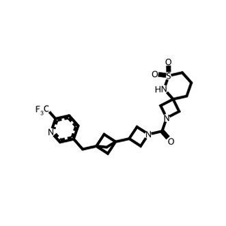 O=C(N1CC(C23CC(Cc4ccc(C(F)(F)F)nc4)(C2)C3)C1)N1CC2(CCCS(=O)(=O)N2)C1